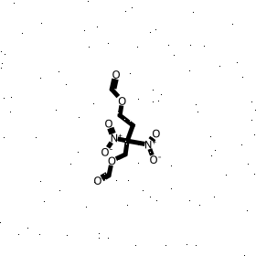 O=COCCC(COC=O)([N+](=O)[O-])[N+](=O)[O-]